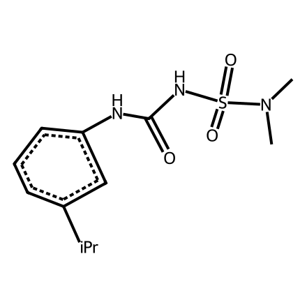 CC(C)c1cccc(NC(=O)NS(=O)(=O)N(C)C)c1